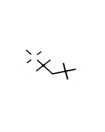 CC(C)(C)CC(C)(C)[Si](C)(C)Cl